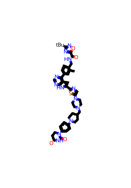 Cc1cc(-c2ncnc3[nH]c(-c4ncc(N5CCN(CC6CCN(c7ccc(N8CCC(=O)NC8=O)cc7)CC6)CC5)s4)cc23)ccc1CNC(=O)c1nc(C(C)(C)C)no1